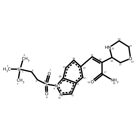 C[Si](C)(C)CCS(=O)(=O)n1ncc2cc(C=C(C(N)=O)C3COCCN3)ccc21